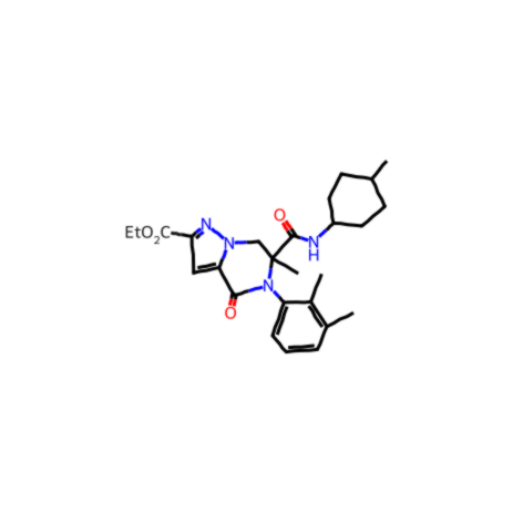 CCOC(=O)c1cc2n(n1)CC(C)(C(=O)NC1CCC(C)CC1)N(c1cccc(C)c1C)C2=O